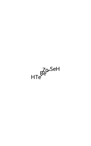 [SeH][Be][TeH].[Zn]